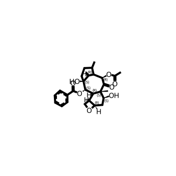 CC(=O)O[C@H]1C(=O)[C@@]2(C)[C@@H]([C@@H]3CO[C@@H]3C[C@@H]2O)[C@H](OC(=O)c2ccccc2)[C@]2(O)CCC(C)C1[C@H]2C